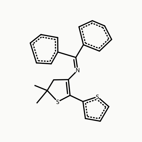 CC1(C)CC(N=C(c2ccccc2)c2ccccc2)=C(c2cccs2)S1